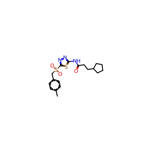 Cc1ccc(CS(=O)(=O)c2nnc(NC(=O)CCC3CCCC3)s2)cc1